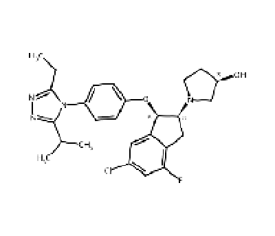 CCc1nnc(C(C)C)n1-c1ccc(O[C@@H]2c3cc(Cl)cc(F)c3C[C@@H]2N2CC[C@@H](O)C2)cc1